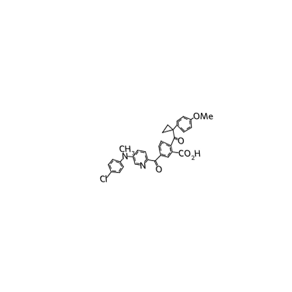 COc1ccc(C2(C(=O)c3ccc(C(=O)c4ccc(N(C)c5ccc(Cl)cc5)cn4)cc3C(=O)O)CC2)cc1